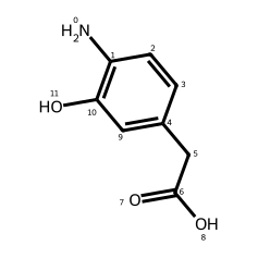 Nc1ccc(CC(=O)O)cc1O